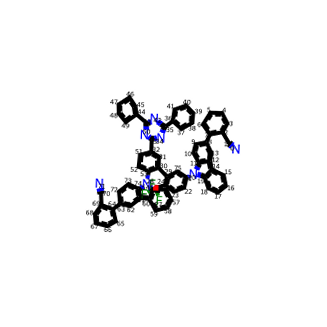 N#Cc1ccccc1-c1ccc2c(c1)c1ccccc1n2-c1ccc(C(F)(F)F)c(-c2cc(-c3nc(-c4ccccc4)nc(-c4ccccc4)n3)ccc2-n2c3ccccc3c3cc(-c4ccccc4C#N)ccc32)c1